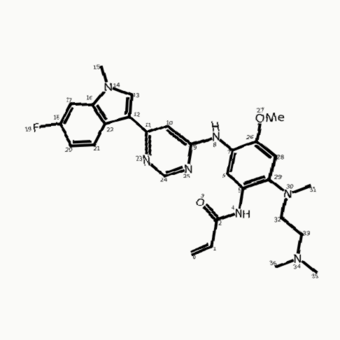 C=CC(=O)Nc1cc(Nc2cc(-c3cn(C)c4cc(F)ccc34)ncn2)c(OC)cc1N(C)CCN(C)C